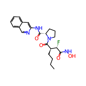 CCCC[C@@H](C(=O)N1CCC[C@H]1C(=O)Nc1cc2ccccc2cn1)[C@H](F)C(=O)NO